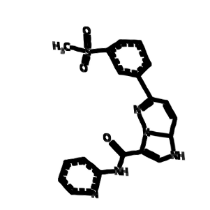 CS(=O)(=O)c1cccc(C2=NN3C(C(=O)Nc4ccccn4)=CNC3C=C2)c1